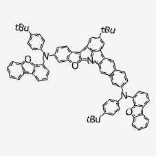 CC(C)(C)c1ccc(N(c2ccc3cc4c5cc(C(C)(C)C)cc6c7c8ccc(N(c9ccc(C(C)(C)C)cc9)c9cccc%10c9oc9ccccc9%10)cc8oc7n(c4cc3c2)c56)c2cccc3c2oc2ccccc23)cc1